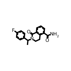 CC(c1ccc(F)cc1)N1CCc2c(C(N)=O)cccc2C1=O